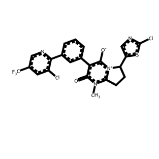 Cn1c2[n+](c([O-])c(-c3cccc(-c4ncc(C(F)(F)F)cc4Cl)c3)c1=O)C(c1cnc(Cl)s1)CC2